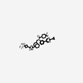 O=C(C1CCC(F)(F)CC1)N(CC1CCC2(c3noc(C4CC(O)(C(F)(F)F)C4)n3)CCCC1C2)c1cccc(-c2cnc(C3CC3)nc2)c1